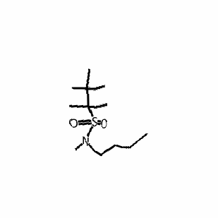 CCCCN(C)S(=O)(=O)C(C)(C)C(C)(C)C